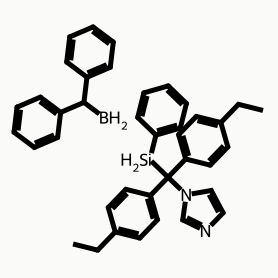 BC(c1ccccc1)c1ccccc1.CCc1ccc(C([SiH2]c2ccccc2)(c2ccc(CC)cc2)n2ccnc2)cc1